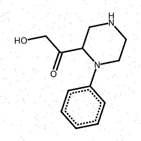 O=C(CO)C1CNCCN1c1ccccc1